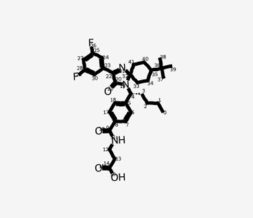 CCCC[C@H](c1ccc(C(=O)NCCC(=O)O)cc1)N1C(=O)C(c2cc(F)cc(F)c2)=NC12CCC(C(C)(C)C)CC2